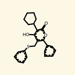 O=c1oc(-c2ccccc2)c(CSc2ccccc2)c(O)c1C1CCCCC1